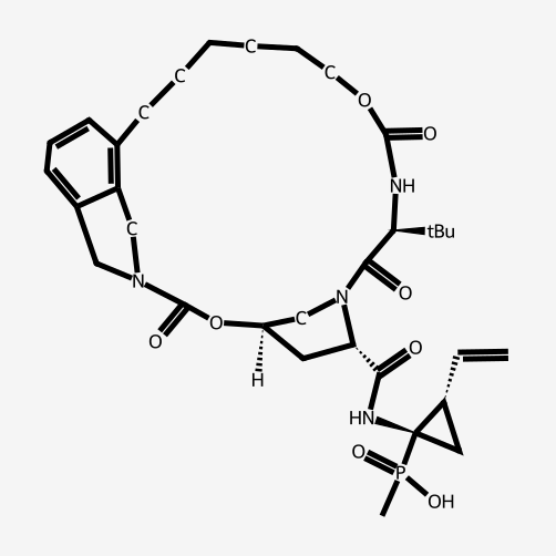 C=C[C@@H]1C[C@]1(NC(=O)[C@@H]1C[C@@H]2CN1C(=O)[C@H](C(C)(C)C)NC(=O)OCCCCCCc1cccc3c1CN(C3)C(=O)O2)P(C)(=O)O